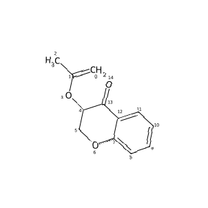 C=C(C)OC1COc2ccccc2C1=O